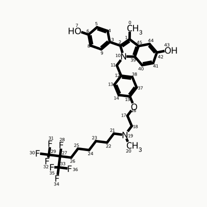 Cc1c(-c2ccc(O)cc2)n(Cc2ccc(OCCN(C)CCCCCCC(F)(C(F)(F)F)C(F)(F)F)cc2)c2ccc(O)cc12